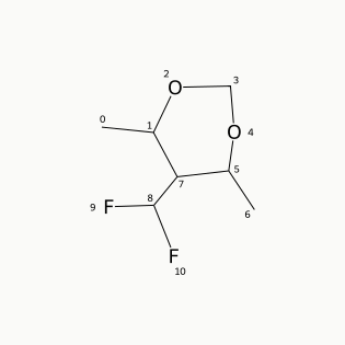 CC1OCOC(C)C1C(F)F